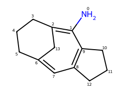 NC1=C2CCCC(=CC3=C1CCC3)C2